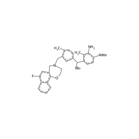 CNc1ccc(C(c2ccc(C)c(CN3CCOc4c(cc(F)c5ccccc45)C3)c2)C(C)(C)C)c(C)c1N